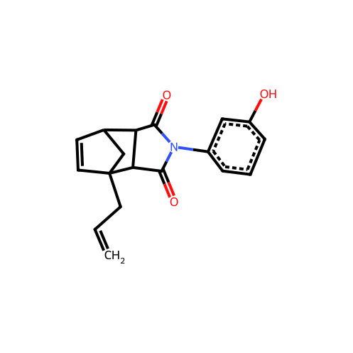 C=CCC12C=CC(C1)C1C(=O)N(c3cccc(O)c3)C(=O)C12